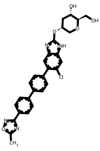 Cc1nc(-c2ccc(-c3ccc(-c4cc5nc(O[C@H]6CO[C@H](CO)[C@@H](O)C6)[nH]c5cc4Cl)cc3)cc2)no1